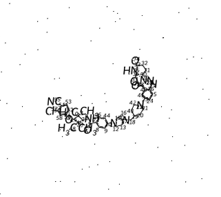 CC1(C)[C@H](NC(=O)c2ccc(N3CC4CC3CN4CC3CCN(c4ccc5nnn(C6CCC(=O)NC6=O)c(=O)c5c4)CC3)cc2)C(C)(C)[C@H]1Oc1ccc(C#N)c(Cl)c1